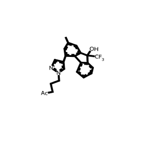 CC(=O)CCCn1cc(-c2cc(C)cc3c2-c2ccccc2C3(O)C(F)(F)F)cn1